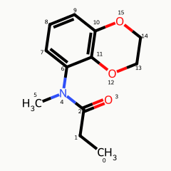 CCC(=O)N(C)c1cccc2c1OCCO2